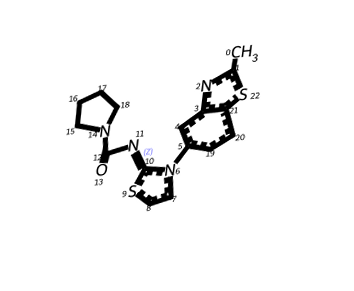 Cc1nc2cc(-n3ccs/c3=N\C(=O)N3CCCC3)ccc2s1